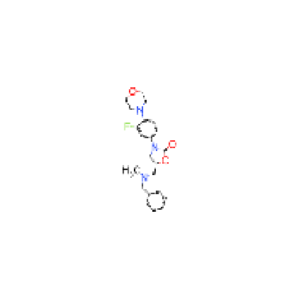 CN(Cc1ccccc1)C[C@H]1CN(c2ccc(N3CCOCC3)c(F)c2)C(=O)O1